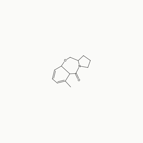 CC1=CC=CC2OCC3CCCN3C(=O)C12